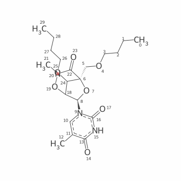 CCCCOC[C@@]12O[C@@H](n3cc(C)c(=O)[nH]c3=O)C(ON(C)C1=O)C2OCCCC